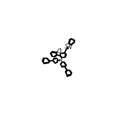 c1ccc(-c2ccc(N(c3ccc(-c4ccccc4)cc3)c3ccc(-c4nc5ccccc5s4)c4oc5ccccc5c34)cc2)cc1